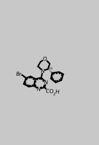 O=C(O)c1nc(N2CCOC[C@@H]2c2ccccc2)c2cc(Br)ccc2n1